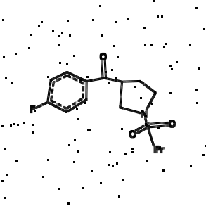 CC(C)S(=O)(=O)N1CCC(C(=O)c2ccc(F)cc2)C1